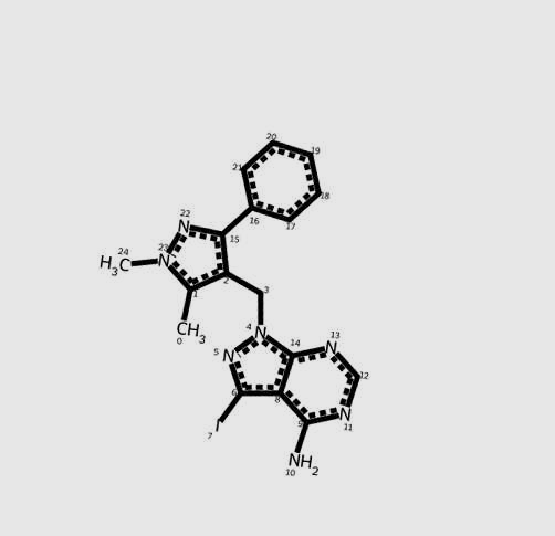 Cc1c(Cn2nc(I)c3c(N)ncnc32)c(-c2ccccc2)nn1C